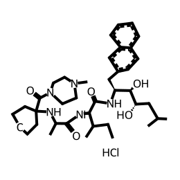 CCC(C)C(NC(=O)C(C)NC1(C(=O)N2CCN(C)CC2)CCCCC1)C(=O)N[C@@H](Cc1ccc2ccccc2c1)[C@@H](O)[C@@H](O)CC(C)C.Cl